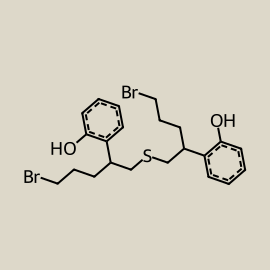 Oc1ccccc1C(CCCBr)CSCC(CCCBr)c1ccccc1O